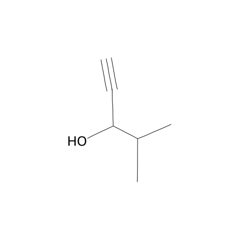 C#CC(O)C(C)C